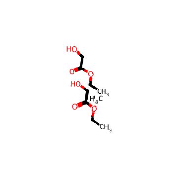 C.CCOC(=O)CO.CCOC(=O)CO